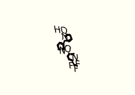 Oc1cccc(-c2cccnc2Oc2ccc(C(F)(F)F)nc2)n1